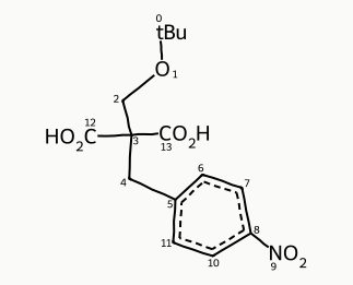 CC(C)(C)OCC(Cc1ccc([N+](=O)[O-])cc1)(C(=O)O)C(=O)O